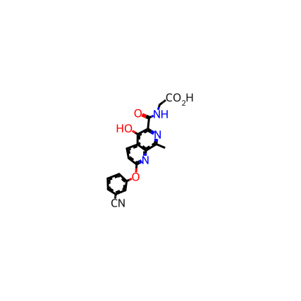 Cc1nc(C(=O)NCC(=O)O)c(O)c2ccc(Oc3cccc(C#N)c3)nc12